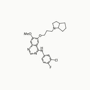 COc1cc2ncnc(Nc3ccc(F)c(Cl)c3)c2cc1OCCCN1CCC2CCCC21